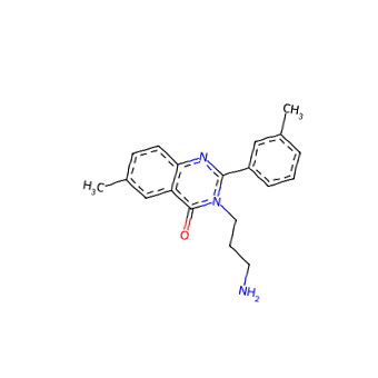 Cc1cccc(-c2nc3ccc(C)cc3c(=O)n2CCCN)c1